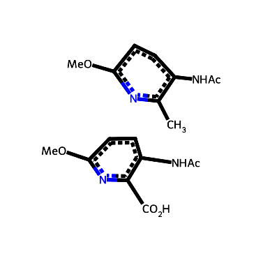 COc1ccc(NC(C)=O)c(C(=O)O)n1.COc1ccc(NC(C)=O)c(C)n1